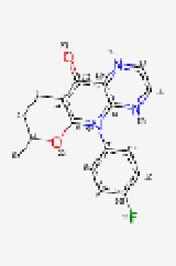 CC1CCc2c(n(-c3ccc(F)cc3)c3nccnc3c2=O)O1